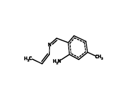 C/C=C\N=C/c1ccc(C)cc1N